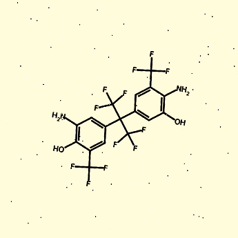 Nc1cc(C(c2cc(O)c(N)c(C(F)(F)F)c2)(C(F)(F)F)C(F)(F)F)cc(C(F)(F)F)c1O